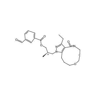 CCc1nn(C[C@@H](C)COC(=O)c2cccc(C=O)c2)c2c1C(=O)NCCCOCCC2